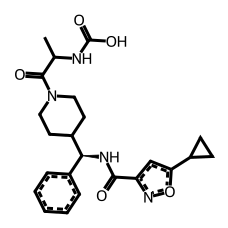 CC(NC(=O)O)C(=O)N1CCC([C@@H](NC(=O)c2cc(C3CC3)on2)c2ccccc2)CC1